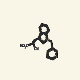 N#C/C(=C\c1cn(Cc2cccnc2)c2ccccc12)C(=O)O